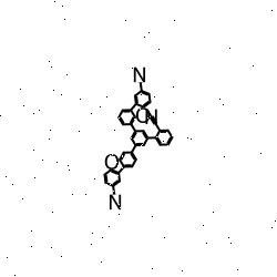 N#Cc1ccc2oc3cc(-c4cc(-c5ccccc5C#N)cc(-c5cccc6c5oc5ccc(C#N)cc56)c4)ccc3c2c1